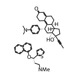 CC#C[C@]1(O)CC[C@H]2[C@@H]3CCC4=CC(=O)CCC4=C3[C@@H](c3ccc(N(C)C)cc3)C[C@@]21C.CNCC[C@H](Oc1cccc2ccccc12)c1cccs1